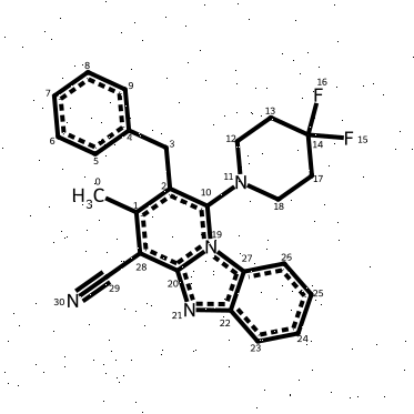 Cc1c(Cc2ccccc2)c(N2CCC(F)(F)CC2)n2c(nc3ccccc32)c1C#N